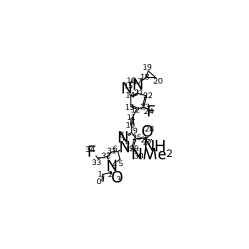 C=CC(=O)N1CC(n2nc(C#Cc3cc4ncn(C5CC5)c4cc3F)c(C(N)=O)c2NC)C[C@@H]1CF